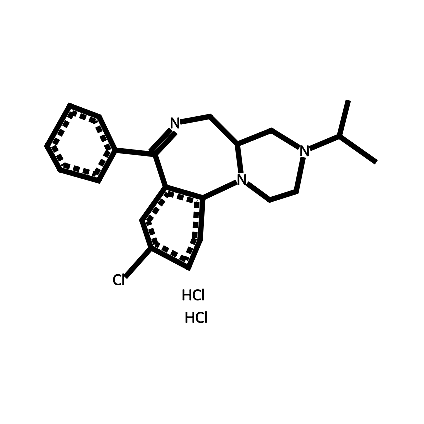 CC(C)N1CCN2c3ccc(Cl)cc3C(c3ccccc3)=NCC2C1.Cl.Cl